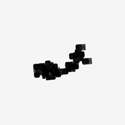 COc1c(C)c(OC)c2c(c1O)[C@H]1[C@@H]3Cc4c(OC)c(C)c(OC)c(O)c4[C@H](CNC(=O)c4ccc5cc(OCNC(=O)CNC(=O)c6ccc7c(c6)C(=O)OC76c7ccc(O)cc7Oc7cc(O)ccc76)ccc5n4)N3[C@@H](C#N)[C@@H](C2)N1C